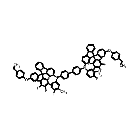 C=Cc1ccc(Oc2ccc(C3(c4c(F)c(F)c(F)c(F)c4F)c4ccccc4-c4ccc(N(c5ccc(-c6ccc(N(c7ccc(F)c(C)c7)c7ccc8c(c7)C(c7ccc(Oc9ccc(C=C)cc9)cc7)(c7c(F)c(F)c(F)c(F)c7F)c7ccccc7-8)cc6)cc5)c5ccc(F)c(C)c5)cc43)cc2)cc1